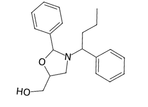 CCCC(c1ccccc1)N1CC(CO)OC1c1ccccc1